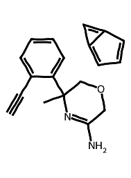 C#Cc1ccccc1C1(C)COCC(N)=N1.c1cc2cc-2c1